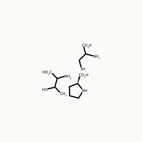 CC(O)C(N)C(=O)O.NC(CS)C(=O)O.O=C(O)[C@@H]1CCCN1